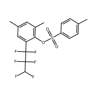 Cc1ccc(S(=O)(=O)Oc2c(C)cc(C)cc2C(F)(F)C(F)(F)C(F)F)cc1